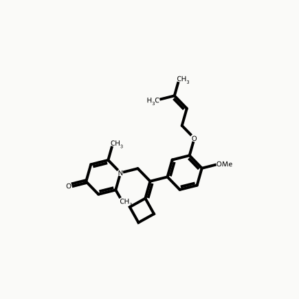 COc1ccc(C(Cn2c(C)cc(=O)cc2C)=C2CCC2)cc1OCC=C(C)C